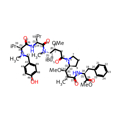 CC[C@H](C)[C@@H]([C@@H](CC(=O)N1CCC[C@H]1[C@H](OC)[C@@H](C)C(=O)N[C@@H](Cc1ccccc1)C(=O)OC)OC)N(C)C(=O)[C@@H](NC(=O)[C@H](C(C)C)N(C)Cc1ccc(O)cc1)C(C)C